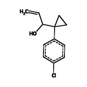 C=CC(O)C1(c2ccc(Cl)cc2)CC1